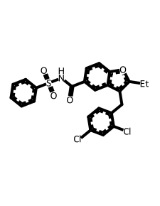 CCc1oc2ccc(C(=O)NS(=O)(=O)c3ccccc3)cc2c1Cc1ccc(Cl)cc1Cl